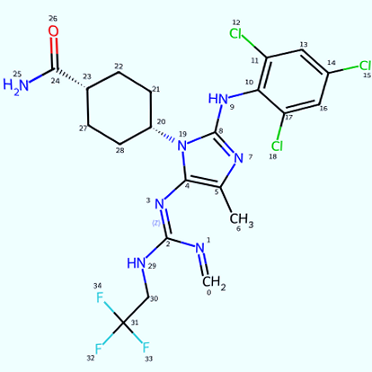 C=N/C(=N\c1c(C)nc(Nc2c(Cl)cc(Cl)cc2Cl)n1[C@H]1CC[C@@H](C(N)=O)CC1)NCC(F)(F)F